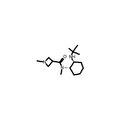 CN1CC(C(=O)N(C)[C@H]2CCCC[C@@H]2NC(C)(C)C)C1